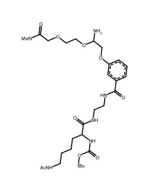 CNC(=O)COCCOC(N)COc1cccc(C(=O)NCCNC(=O)C(CCCCNC(C)=O)NC(=O)OC(C)(C)C)c1